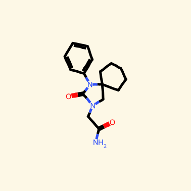 NC(=O)CN1CC2(CCCCC2)N(c2ccccc2)C1=O